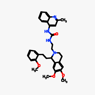 COc1ccccc1CCC1c2cc(OC)c(OC)cc2CCN1CCNC(=O)Nc1cc(C)nc2ccccc12